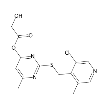 Cc1cc(OC(=O)CO)nc(SCc2c(C)cncc2Cl)n1